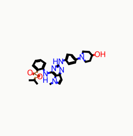 CC(C)S(=O)(=O)c1ccccc1Nc1nc(Nc2ccc(N3CCC(O)CC3)cc2)nc2ccn(C)c12